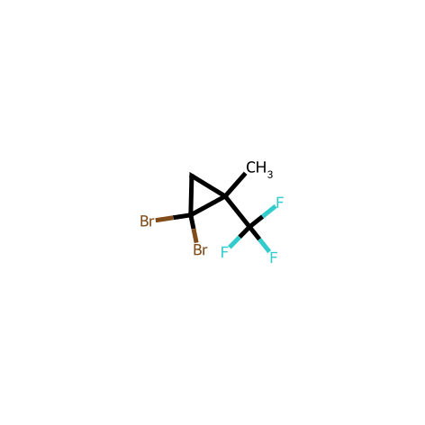 CC1(C(F)(F)F)CC1(Br)Br